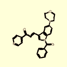 O=C(/C=C/c1cn(C(=O)c2ccccc2)c2ccc(N3CCOCC3)cc12)c1ccncc1